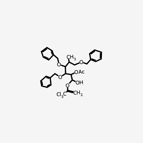 C=C(OC(O)C(OC(C)=O)C(OCc1ccccc1)C(OCc1ccccc1)C(C)COCc1ccccc1)C(Cl)(Cl)Cl